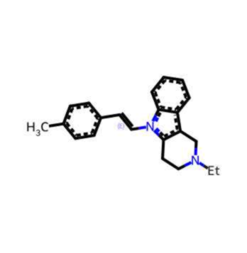 CCN1CCc2c(c3ccccc3n2/C=C/c2ccc(C)cc2)C1